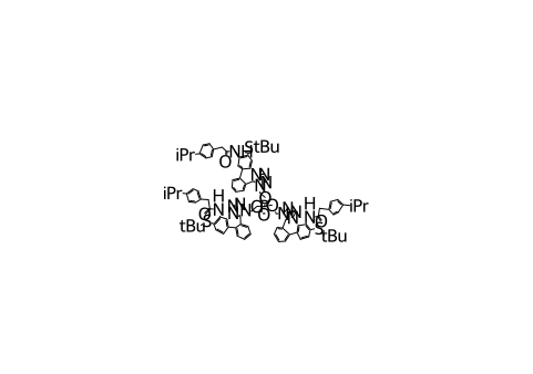 CC(C)c1ccc(CC(=O)Nc2cc(-c3ccccc3-c3nnnn3COP(=O)(OCn3nnnc3-c3ccccc3-c3ccc(SC(C)(C)C)c(NC(=O)Cc4ccc(C(C)C)cc4)c3)OCn3nnnc3-c3ccccc3-c3ccc(SC(C)(C)C)c(NC(=O)Cc4ccc(C(C)C)cc4)c3)ccc2SC(C)(C)C)cc1